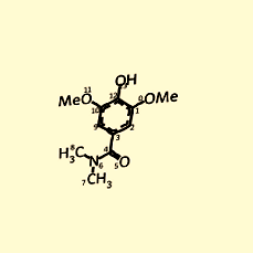 COc1cc(C(=O)N(C)C)cc(OC)c1O